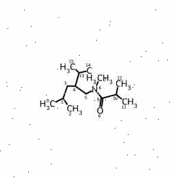 CC(C)CC(CN(C)C(=O)C(C)C)C(C)C